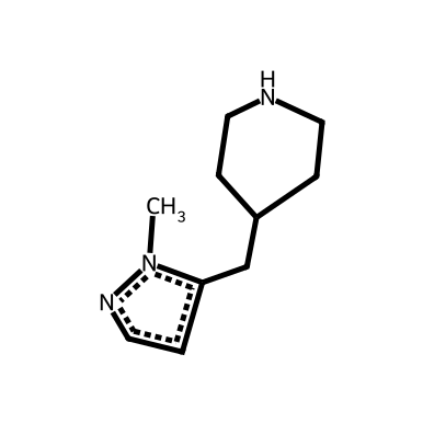 Cn1nccc1CC1CCNCC1